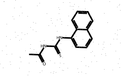 CC(=O)NC(=S)Nc1cccc2ccccc12